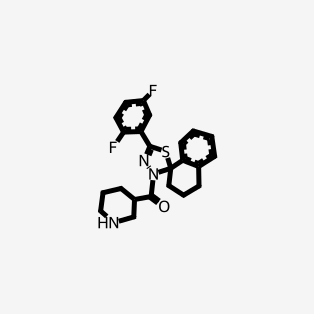 O=C(C1CCCNC1)N1N=C(c2cc(F)ccc2F)SC12CCCc1ccccc12